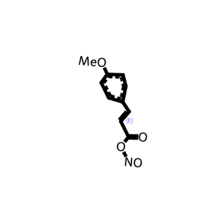 COc1ccc(/C=C/C(=O)ON=O)cc1